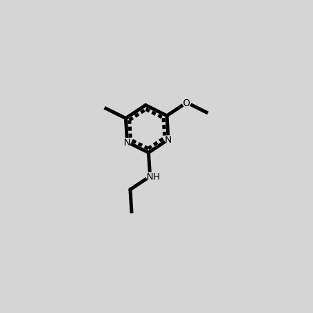 CCNc1nc(C)cc(OC)n1